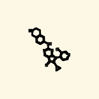 O=c1c2cnc(Nc3ccc4c(c3)CCNC4)nc2n(-c2ccncc2Cl)n1C1CC1